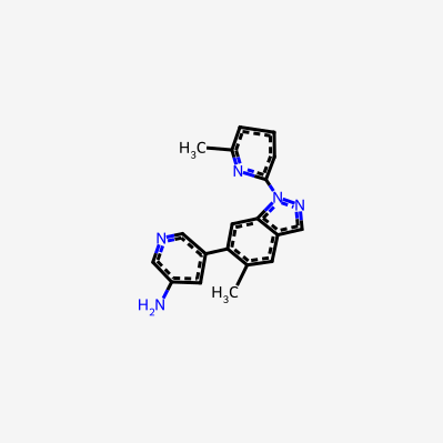 Cc1cccc(-n2ncc3cc(C)c(-c4cncc(N)c4)cc32)n1